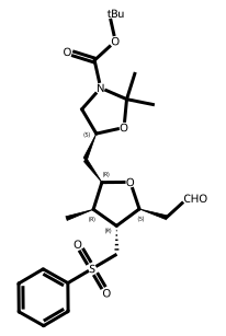 C[C@@H]1[C@@H](CS(=O)(=O)c2ccccc2)[C@H](CC=O)O[C@@H]1C[C@H]1CN(C(=O)OC(C)(C)C)C(C)(C)O1